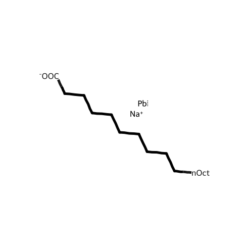 CCCCCCCCCCCCCCCCCC(=O)[O-].[Na+].[Pb]